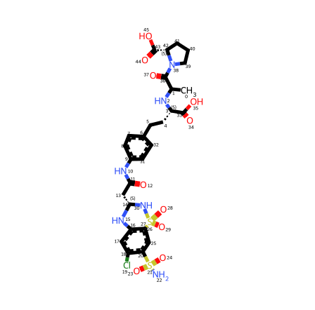 CC(N[C@@H](CCc1ccc(NC(=O)C[C@H]2Nc3cc(Cl)c(S(N)(=O)=O)cc3S(=O)(=O)N2)cc1)C(=O)O)C(=O)N1CCC[C@H]1C(=O)O